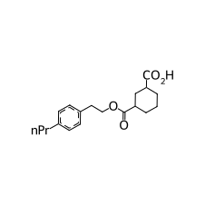 CCCc1ccc(CCOC(=O)C2CCCC(C(=O)O)C2)cc1